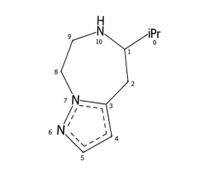 CC(C)C1Cc2ccnn2CCN1